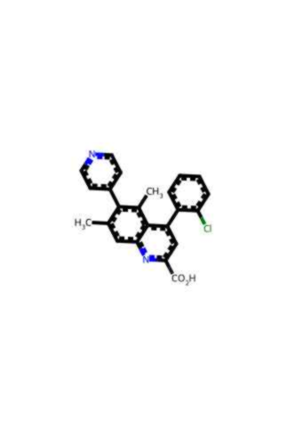 Cc1cc2nc(C(=O)O)cc(-c3ccccc3Cl)c2c(C)c1-c1ccncc1